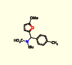 COc1ccc(C(c2ccc(C)cc2)N(C(=O)O)C(C)(C)C)o1